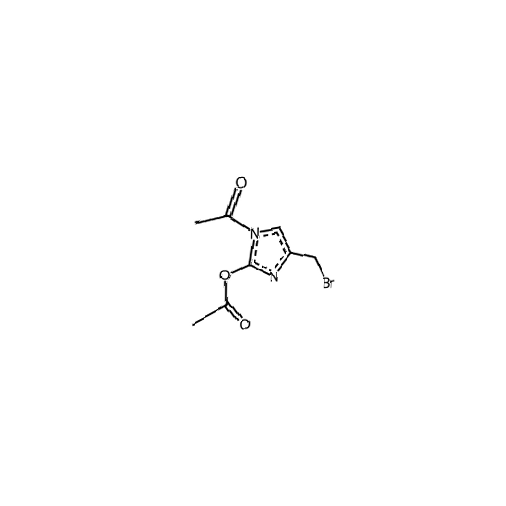 CC(=O)Oc1nc(CBr)cn1C(C)=O